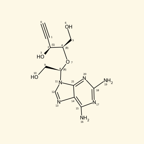 C#C[C@H](O)[C@@H](CO)O[C@H](CO)n1cnc2c(N)nc(N)nc21